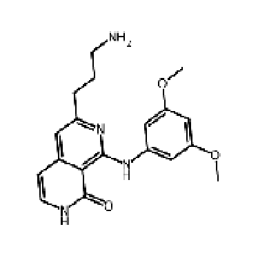 COc1cc(Nc2nc(CCCN)cc3cc[nH]c(=O)c23)cc(OC)c1